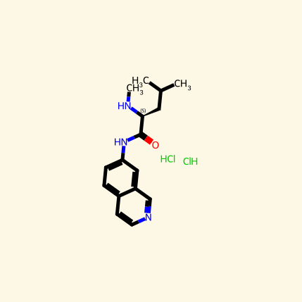 CN[C@@H](CC(C)C)C(=O)Nc1ccc2ccncc2c1.Cl.Cl